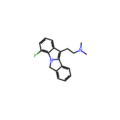 CN(C)CCc1c2n(c3c(F)cccc13)Cc1ccccc1-2